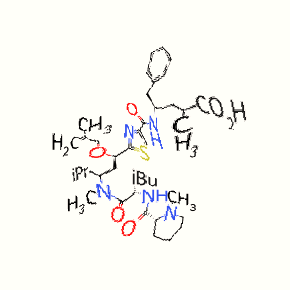 C=C(C)CO[C@H](C[C@H](C(C)C)N(C)C(=O)[C@@H](NC(=O)[C@H]1CCCCN1C)[C@@H](C)CC)c1nc(C(=O)N[C@@H](Cc2ccccc2)C[C@H](C)C(=O)O)cs1